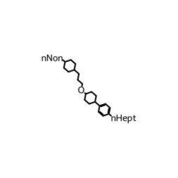 CCCCCCCCCC1CCC(CCCOC2CCC(c3ccc(CCCCCCC)cc3)CC2)CC1